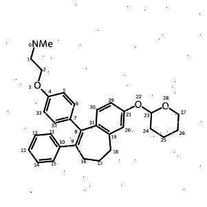 CNCCOc1ccc(C2=C(c3ccccc3)CCCc3cc(OC4CCCCO4)ccc32)cc1